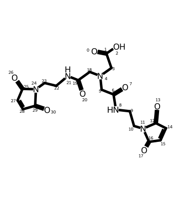 O=C(O)CN(CC(=O)NCCN1C(=O)C=CC1=O)CC(=O)NCCN1C(=O)C=CC1=O